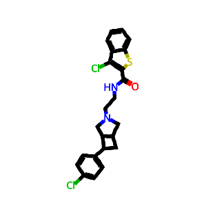 O=C(NCCN1CC2CC(c3ccc(Cl)cc3)C2C1)c1sc2ccccc2c1Cl